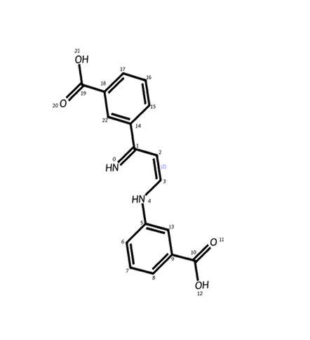 N=C(/C=C\Nc1cccc(C(=O)O)c1)c1cccc(C(=O)O)c1